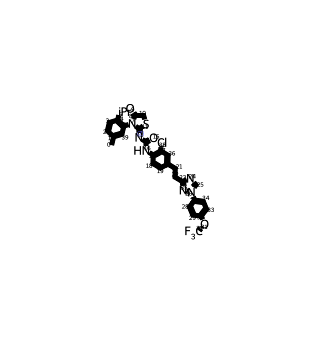 Cc1ccc(C(C)C)c(N2C(=O)CS/C2=N\C(=O)Nc2ccc(CCc3ncn(-c4ccc(OC(F)(F)F)cc4)n3)cc2Cl)c1